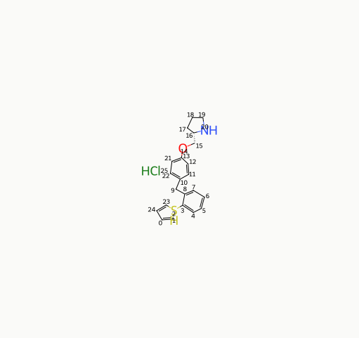 C1=C[SH](c2ccccc2Cc2ccc(OC[C@@H]3CCCN3)cc2)C=C1.Cl